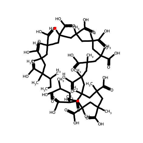 CCC(C)C(C)(CC(C)(CC(C)(CC(C)(CC(C)(CC(C)(CC(C)(CC(C)(CC(C)(CC(C)(CC(C)(CC(C)(CC(C)(CC(C)(CC(C)C(=O)O)C(=O)O)C(=O)O)C(=O)O)C(=O)O)C(=O)O)C(=O)O)C(=O)O)C(=O)O)C(=O)O)C(=O)O)C(=O)O)C(=O)O)C(=O)O)C(=O)O